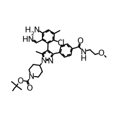 COCCNC(=O)c1ccc(-c2nn(C3CCN(C(=O)OC(C)(C)C)CC3)c(C)c2-c2c(Cl)c(C)cc(N)c2C=N)cc1